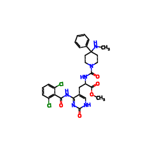 CNC1(c2ccccc2)CCN(C(=O)NC(Cc2c[nH]c(=O)nc2NC(=O)c2c(Cl)cccc2Cl)C(=O)OC)CC1